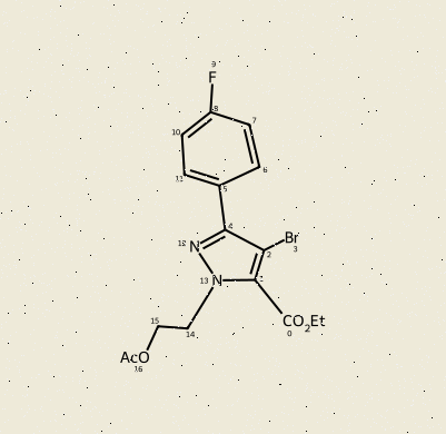 CCOC(=O)c1c(Br)c(-c2ccc(F)cc2)nn1CCOC(C)=O